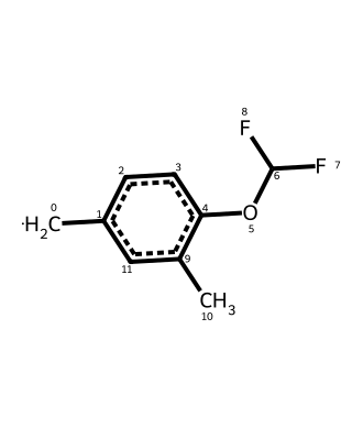 [CH2]c1ccc(OC(F)F)c(C)c1